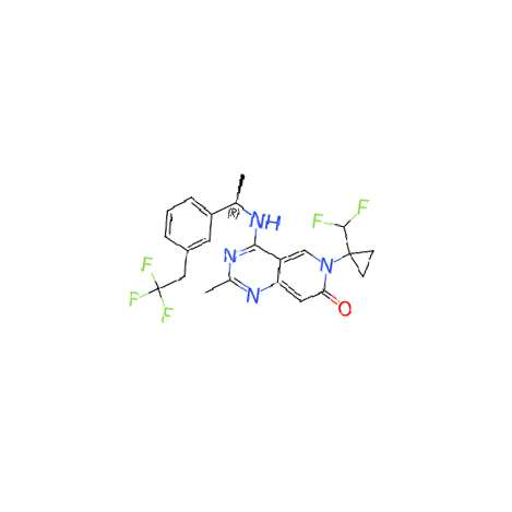 Cc1nc(N[C@H](C)c2cccc(CC(F)(F)F)c2)c2cn(C3(C(F)F)CC3)c(=O)cc2n1